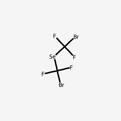 FC(F)(Br)[Se]C(F)(F)Br